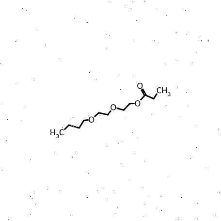 CCCCOCCOCCOC(=O)CC